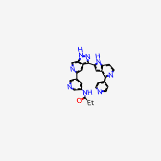 CCC(=O)Nc1cncc(-c2cc3c(-c4cc5c(-c6ccncc6)nccc5[nH]4)n[nH]c3cn2)c1